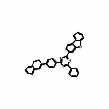 C1=C(c2ccc(-c3nc(-c4ccccc4)nc(-c4ccc5c(c4)oc4ccccc45)n3)cc2)CCc2ccccc21